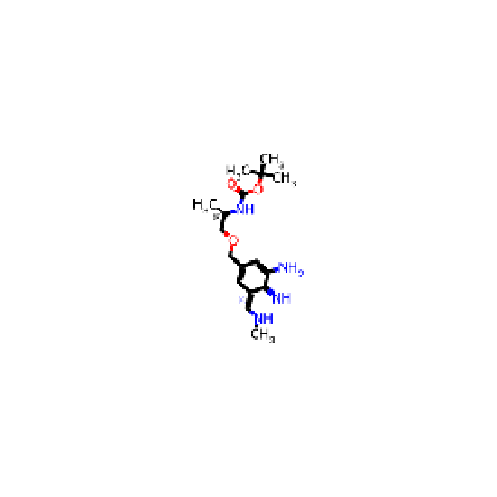 CN/C=C1/C=C(COC[C@@H](C)NC(=O)OC(C)(C)C)C=C(N)C1=N